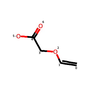 C=COCC([O])=O